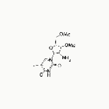 COCC1OC(n2cc(C)c(=O)[nH]c2=O)C(N)C1OC